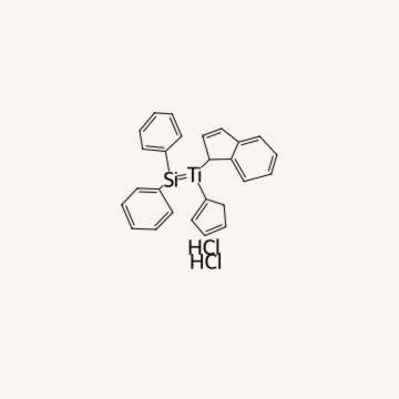 C1=CC[C]([Ti]([CH]2C=Cc3ccccc32)=[Si](c2ccccc2)c2ccccc2)=C1.Cl.Cl